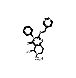 CC(C)(C)C1c2c(nc(SCc3ccnnc3)n(-c3ccccc3)c2=O)CCN1C(=O)O